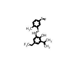 C=C(C)c1cc(CC(F)(F)F)cc(NSc2cc(SF)ccc2C)c1O